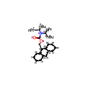 CCCCC(CCC)N(C(=O)OCc1c2ccccc2cc2ccccc12)C(CCC)CCCC